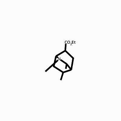 CCOC(=O)C1CC2C(C)CC1N(C)C2C